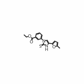 CCOC(=O)c1cccc(-n2cc(-c3ccc(C)o3)[nH]c2=S)c1